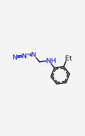 CCc1ccccc1NCN=[N+]=[N-]